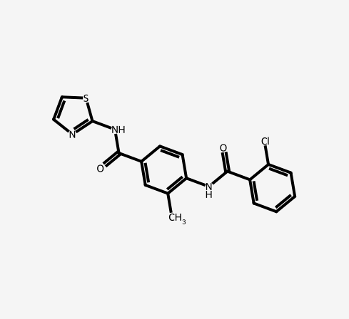 Cc1cc(C(=O)Nc2nccs2)ccc1NC(=O)c1ccccc1Cl